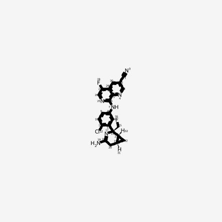 N#Cc1cnc2c(Nc3ccc(Cl)c([C@@]4(CF)N=C(N)C[C@@H]5C[C@@H]54)c3)ncc(F)c2c1